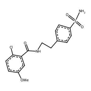 COc1ccc(Cl)c(C(=O)NCCc2ccc(S(N)(=O)=O)cc2)c1